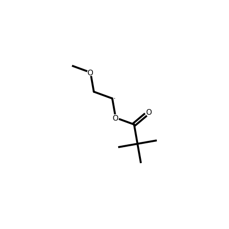 COC[CH]OC(=O)C(C)(C)C